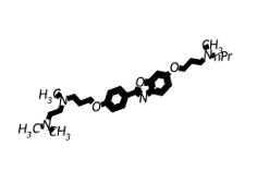 CCCN(C)CCCOc1ccc2nc(-c3ccc(OCCCN(C)CCN(C)C)cc3)oc2c1